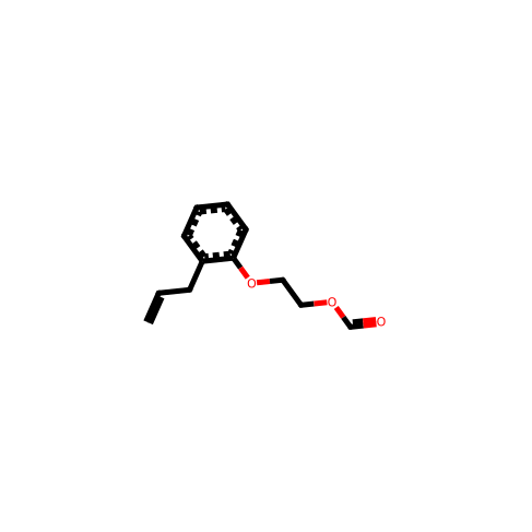 C=CCc1ccccc1OCCOC=O